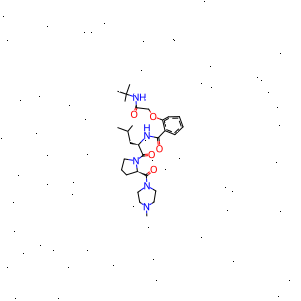 CC(C)C[C@@H](NC(=O)c1ccccc1OCC(=O)NC(C)(C)C)C(=O)N1CCC[C@@H]1C(=O)N1CCN(C)CC1